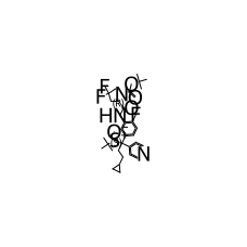 CC(C)(C)OC(=O)N1CC(F)(F)C[C@@H]1C(=O)Nc1cc(C(CCC2CC2)(c2ccncc2)[S@+]([O-])C(C)(C)C)ccc1F